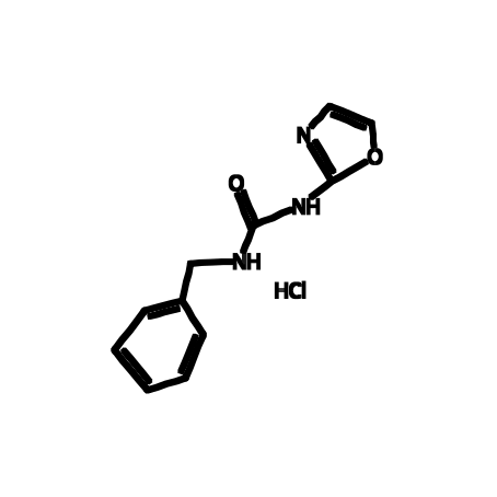 Cl.O=C(NCc1ccccc1)Nc1ncco1